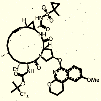 CC[C@@H]1C[C@H](C)CC/C=C\[C@@H]2C[C@@]2(C(=O)NS(=O)(=O)C2(C)CC2)NC(=O)[C@@H]2C[C@@H](Oc3nc4c(c5cc(OC)ccc35)CCCO4)CN2C(=O)[C@H]1NC(=O)OC(C)(C)C(F)(F)F